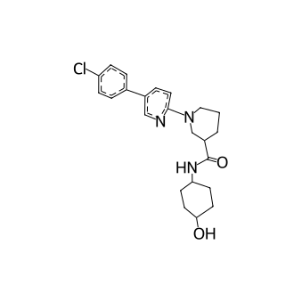 O=C(NC1CCC(O)CC1)C1CCCN(c2ccc(-c3ccc(Cl)cc3)cn2)C1